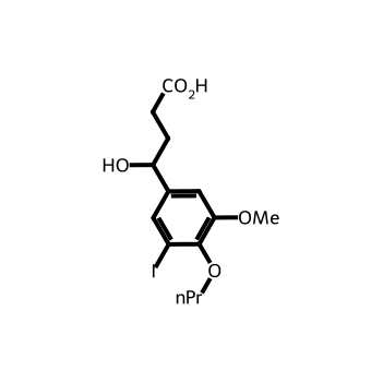 CCCOc1c(I)cc(C(O)CCC(=O)O)cc1OC